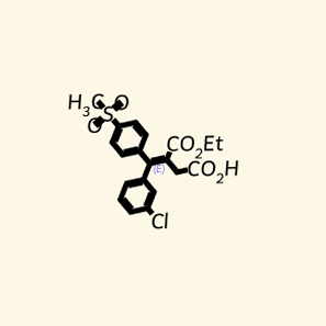 CCOC(=O)/C(CC(=O)O)=C(\c1ccc(S(C)(=O)=O)cc1)c1cccc(Cl)c1